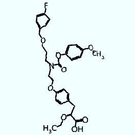 CCOC(Cc1ccc(OCCN(CCCOCc2ccc(F)cc2)C(=O)Oc2ccc(OC)cc2)cc1)C(=O)O